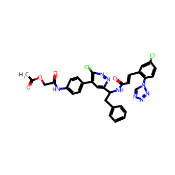 CC(=O)OCC(=O)Nc1ccc(-c2cc(C(Cc3ccccc3)NC(=O)C=Cc3cc(Cl)ccc3-n3cnnn3)nnc2Cl)cc1